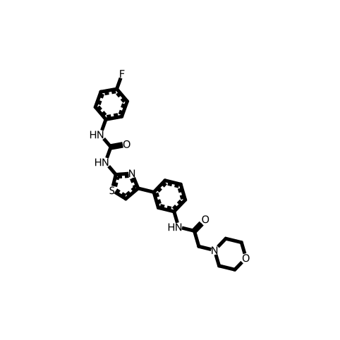 O=C(CN1CCOCC1)Nc1cccc(-c2csc(NC(=O)Nc3ccc(F)cc3)n2)c1